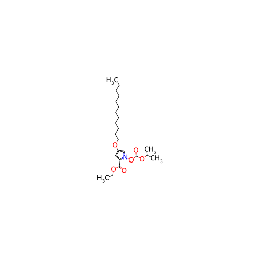 CCCCCCCCCCCCOc1cc(C(=O)OCC)n(OC(=O)OC(C)C)c1